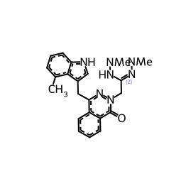 CN/N=C(/Cn1nc(Cc2c[nH]c3cccc(C)c23)c2ccccc2c1=O)NNC